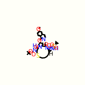 COc1ccc2c(O[C@@H]3C[C@H]4C(=O)N[C@]5(C(=O)NS(=O)(=O)C6CC6)C[C@H]5CCCCCSC[C@H](NC(=O)OC(C)(C)C)C(=O)N4C3)nccc2c1